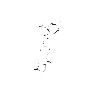 O=C1CC[C@H](C(=O)N2CCC(NS(=O)(=O)c3ccc(Br)cc3C(F)(F)F)CC2)N1